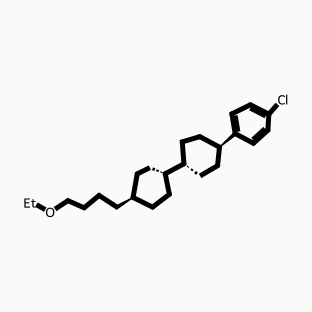 CCOCCCC[C@H]1CC[C@H]([C@H]2CC[C@H](c3ccc(Cl)cc3)CC2)CC1